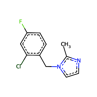 Cc1nccn1Cc1ccc(F)cc1Cl